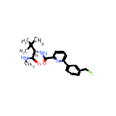 CNC(=O)[C@@H](NC(=O)c1cccc(-c2cccc(CF)c2)n1)C(C)(C)C